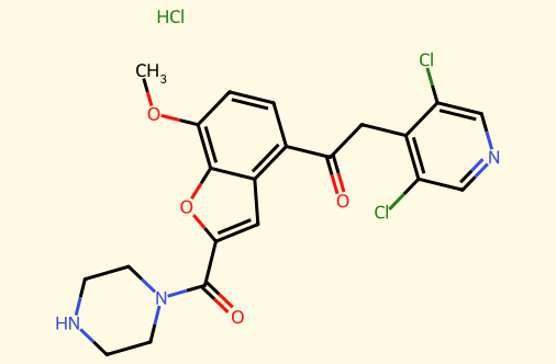 COc1ccc(C(=O)Cc2c(Cl)cncc2Cl)c2cc(C(=O)N3CCNCC3)oc12.Cl